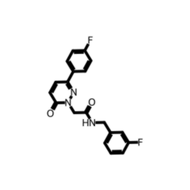 O=C(Cn1nc(-c2ccc(F)cc2)ccc1=O)NCc1cccc(F)c1